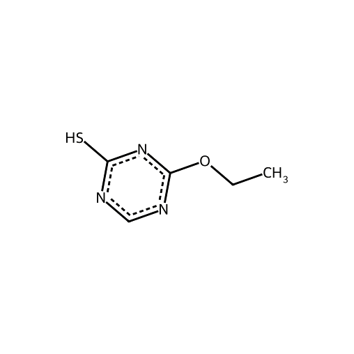 CCOc1ncnc(S)n1